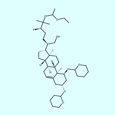 CCOC(C)OC(C)(C)[C@H](F)CC[C@@H](CO)[C@H]1CC[C@H]2[C@@H]3CC=C4C[C@@H](OC5CCCCO5)C[C@H](OC5CCCCO5)[C@]4(C)[C@H]3CC[C@]12C